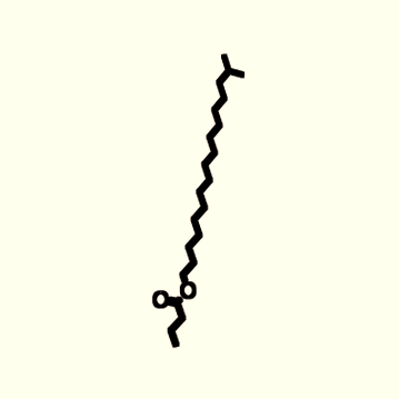 CCCC(=O)OCCCCCCCCCCCCCCCC(C)C